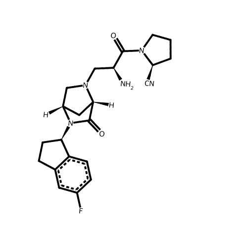 N#C[C@@H]1CCCN1C(=O)[C@@H](N)CN1C[C@@H]2C[C@H]1C(=O)N2[C@@H]1CCc2cc(F)ccc21